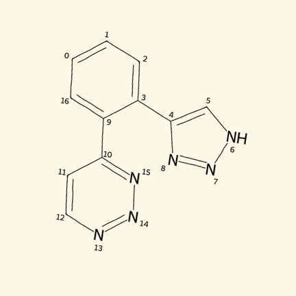 c1ccc(-c2c[nH]nn2)c(-c2ccnnn2)c1